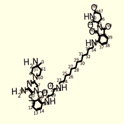 CC1(N)CCN(c2cnc(Sc3cccc(NC(=O)CC(=O)NCCCCCCCCCCCCNc4cccc5c4C(=O)N(C4CCC(=O)NC4=O)C5=O)c3Cl)c(N)n2)CC1